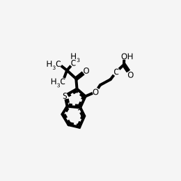 CC(C)(C)C(=O)c1sc2ccccc2c1OCCCC(=O)O